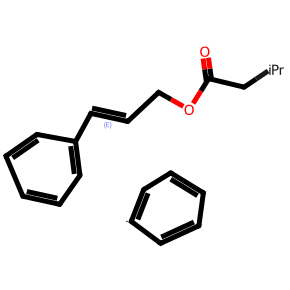 CC(C)CC(=O)OC/C=C/c1ccccc1.[c]1ccccc1